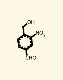 O=Cc1ccc(CO)c([N+](=O)[O-])c1